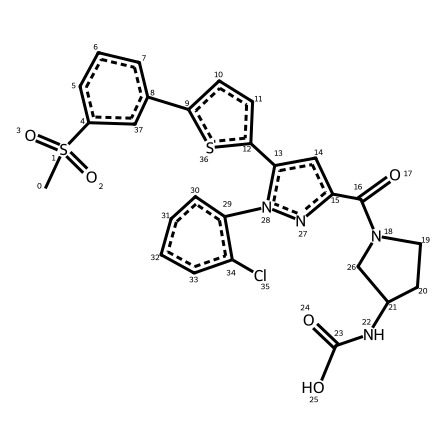 CS(=O)(=O)c1cccc(-c2ccc(-c3cc(C(=O)N4CCC(NC(=O)O)C4)nn3-c3ccccc3Cl)s2)c1